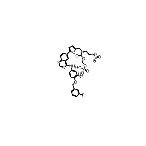 O=C(OCOP(=O)(O)O)N(CCC[SH](=O)=O)Cc1ccc(-c2ccc3ncnc(Nc4ccc(OCc5cccc(F)c5)c(Cl)c4)c3c2)o1